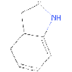 [C]1CC2CC=CC=C2N1